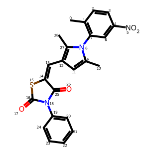 Cc1ccc([N+](=O)[O-])cc1-n1c(C)cc(C=C2SC(=O)N(c3ccccc3)C2=O)c1C